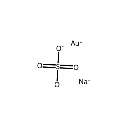 O=S(=O)([O-])[O-].[Au+].[Na+]